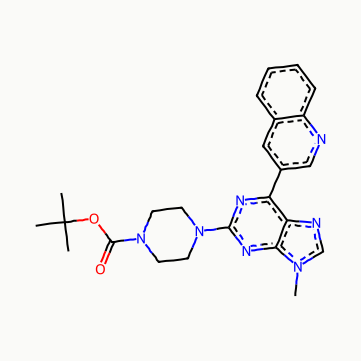 Cn1cnc2c(-c3cnc4ccccc4c3)nc(N3CCN(C(=O)OC(C)(C)C)CC3)nc21